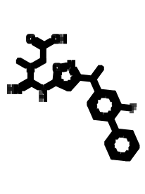 CC(c1ccc(-c2ccccc2)c(F)c1)c1cc(NC(=N)N(C)CC(=O)O)on1